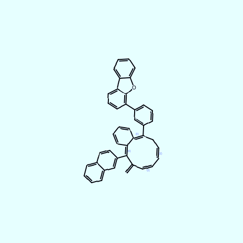 C=C1/C=C\C=C/C/C(c2cccc(-c3cccc4c3oc3ccccc34)c2)=c2/cccc/c2=C/1c1ccc2ccccc2c1